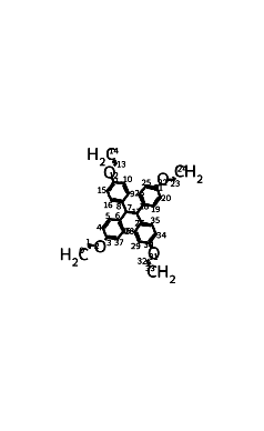 C=COc1ccc(C(c2ccc(OC=C)cc2)C(c2ccc(OC=C)cc2)c2ccc(OC=C)cc2)cc1